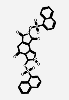 O=C1CC2=C(C(=O)N(OS(=O)(=O)c3cccc4ccccc34)C2=O)C2=C[N+](=O)C(OS(=O)(=O)c3cccc4ccccc34)C12